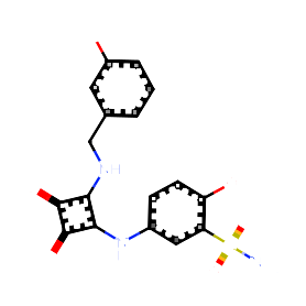 NS(=O)(=O)c1cc(Nc2c(NCc3cccc(O)c3)c(=O)c2=O)ccc1O